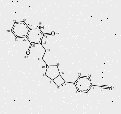 N#Cc1ccc(C2CC3CN(CCn4c(=O)[nH]c5ccccc5c4=O)CC32)cc1